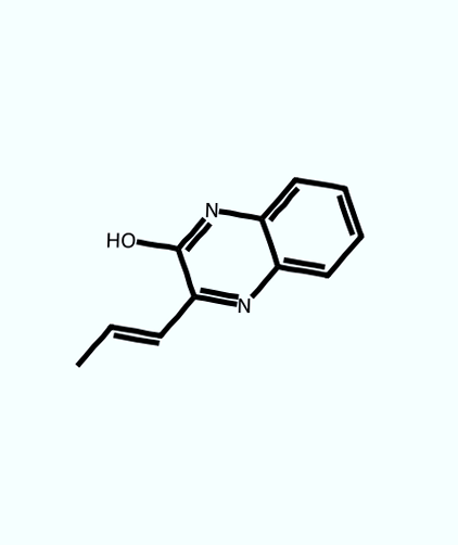 C/C=C/c1nc2ccccc2nc1O